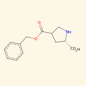 O=C(OCc1ccccc1)C1CN[C@H](C(=O)O)C1